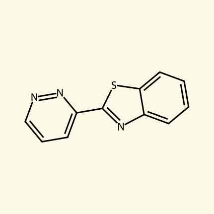 c1cnnc(-c2nc3ccccc3s2)c1